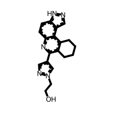 OCCn1cc(-c2nc3ccc4[nH]ncc4c3c3c2CCCC3)cn1